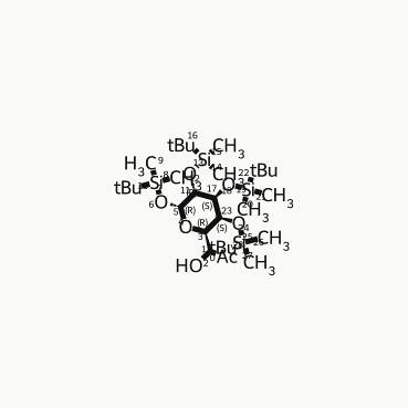 CC(=O)C(O)[C@H]1O[C@H](O[Si](C)(C)C(C)(C)C)[C@H](O[Si](C)(C)C(C)(C)C)[C@@H](O[Si](C)(C)C(C)(C)C)[C@H]1O[Si](C)(C)C(C)(C)C